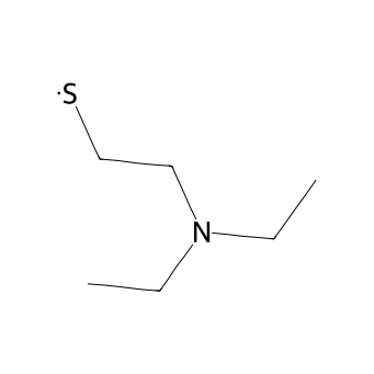 CCN(CC)CC[S]